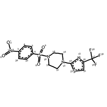 O=[N+]([O-])c1ccc(S(=O)(=O)N2CCN(c3nc(C(F)(F)F)cs3)CC2)cc1